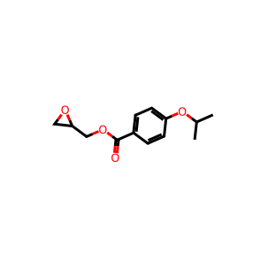 CC(C)Oc1ccc(C(=O)OCC2CO2)cc1